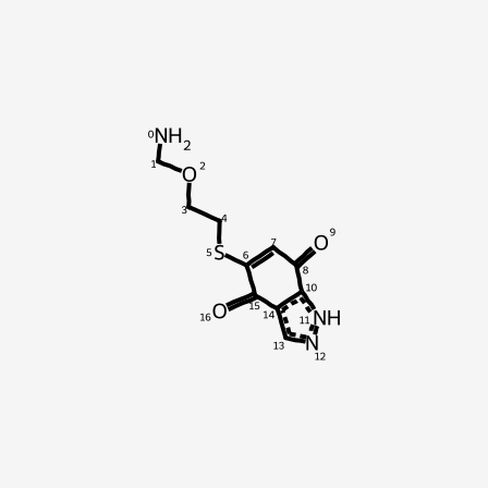 NCOCCSC1=CC(=O)c2[nH]ncc2C1=O